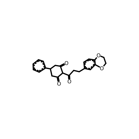 O=C(CCc1ccc2c(c1)OCCO2)C1C(=O)CC(c2ccccc2)CC1=O